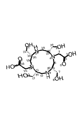 O=C(O)CN1C[C@H](CO)NC[C@H](CO)N(CC(=O)O)C[C@H](CO)NC[C@@H]1CO